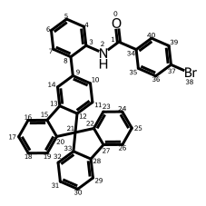 O=C(Nc1ccccc1-c1ccc2c(c1)-c1ccccc1C21c2ccccc2-c2ccccc21)c1ccc(Br)cc1